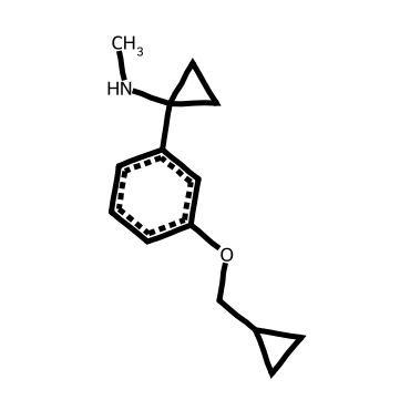 CNC1(c2cccc(OCC3CC3)c2)CC1